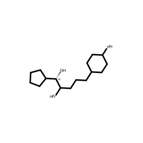 CCCC1CCC(CCCC(CCC)[C@@H](O)C2CCCC2)CC1